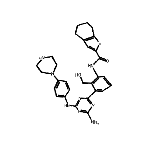 Nc1nc(Nc2ccc(N3CCNCC3)cc2)nc(-c2cccc(NC(=O)c3cc4c(s3)CCCC4)c2CO)n1